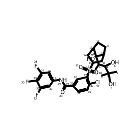 CC(C)(O)C(O)C(O)C1(O)C2CCC1CC(S(=O)(=O)c1cc(C(=O)Nc3cc(F)c(F)c(F)c3)ccc1Cl)C2